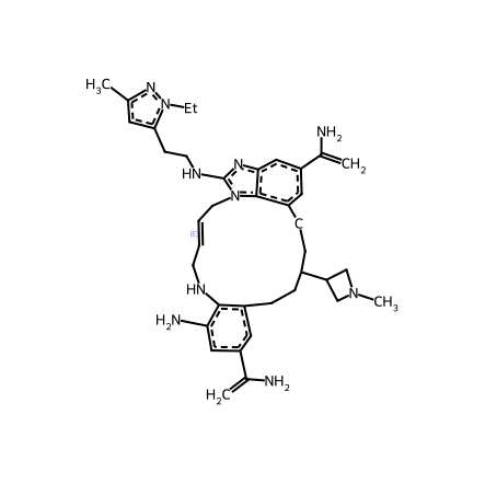 C=C(N)c1cc(N)c2c(c1)CCC(C1CN(C)C1)CCc1cc(C(=C)N)cc3nc(NCCc4cc(C)nn4CC)n(c13)C/C=C/CN2